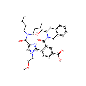 CCCCN(CCCC)C(=O)c1cn(CCOC)c(-c2ccc(C(=O)O)cc2C(=O)N2Cc3ccccc3CC2CO)n1